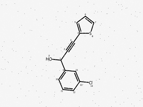 OC(C#Cc1cccs1)c1cccc(Cl)c1